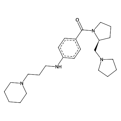 O=C(c1ccc(NCCCN2CCCCC2)cc1)N1CCC[C@H]1CN1CCCC1